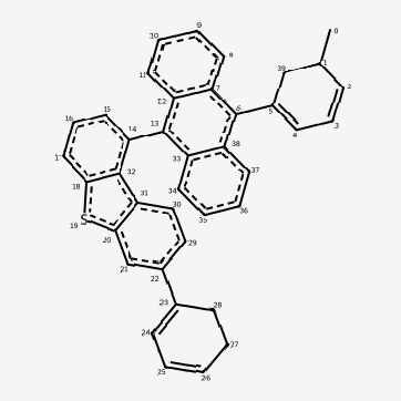 CC1C=CC=C(c2c3ccccc3c(-c3cccc4sc5cc(C6=CC=CCC6)ccc5c34)c3ccccc23)C1